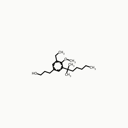 CCCCCC(C)(C)c1cc(CCCO)cc(CC)c1OC